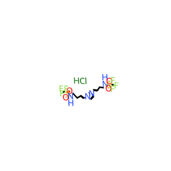 Cl.O=S(=O)(NCCC=CN1C=CN(C=CCCNS(=O)(=O)C(F)(F)F)C1)C(F)(F)F